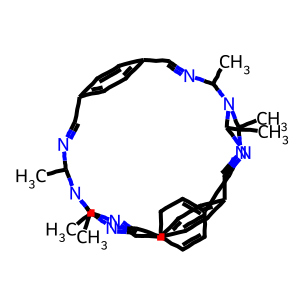 CC1/N=C/C2=CCC(C=C2)/C=N/C(C)N2C(C)/N=C/c3ccc(cc3)/C=N/C(C)N1C(C)/N=C/c1ccc(cc1)/C=N/C2C